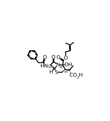 CC(C)=CCOC(=O)[C@]1(O)[C@@H]([C@H](C)C(=O)O)CS[C@@H]2[C@H](NC(=O)Cc3ccccc3)C(=O)N21